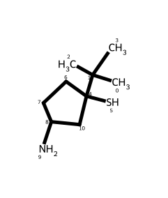 CC(C)(C)C1(S)CCC(N)C1